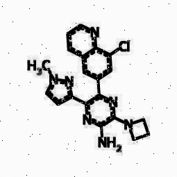 Cn1ccc(-c2nc(N)c(N3CCC3)nc2-c2cc(Cl)c3ncccc3c2)n1